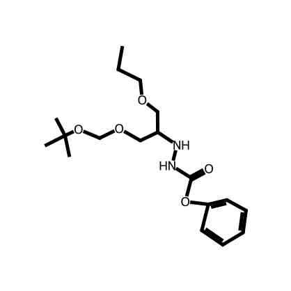 CCCOCC(COCOC(C)(C)C)NNC(=O)Oc1ccccc1